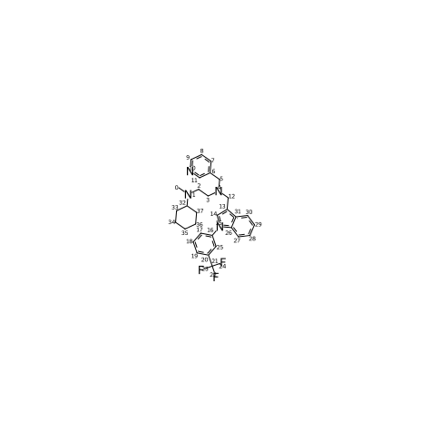 CN(CCN(Cc1cccnc1)Cc1cn(-c2cccc(C(F)(F)F)c2)c2ccccc12)C1CCCCC1